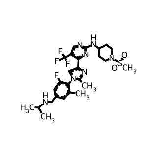 Cc1cc(CNC(C)C)cc(F)c1-n1cc(-c2nc(NC3CCN(S(C)(=O)=O)CC3)ncc2C(F)(F)F)nc1C